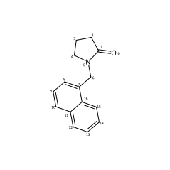 O=C1CCCN1Cc1cccc2ccccc12